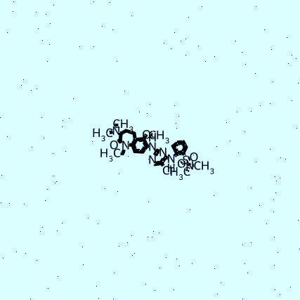 CCN1C(=O)C(N(C)C)CCc2c1ccc(Nc1ncc(Cl)c(Nc3ccccc3S(=O)(=O)N(C)C)n1)c2OC